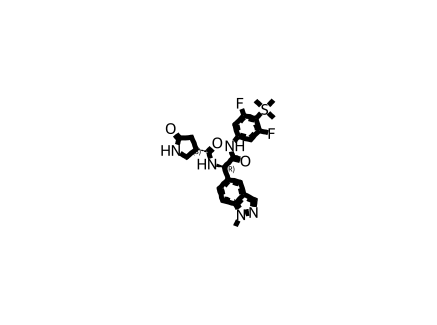 Cn1ncc2cc([C@@H](NC(=O)[C@@H]3CNC(=O)C3)C(=O)Nc3cc(F)c(S(C)(C)C)c(F)c3)ccc21